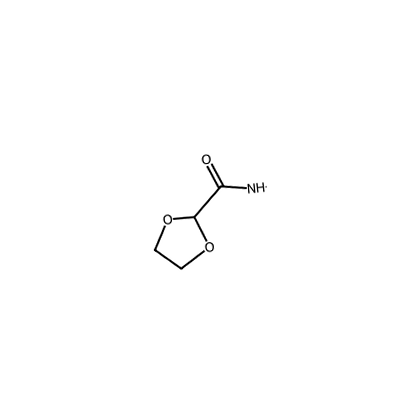 [NH]C(=O)C1OCCO1